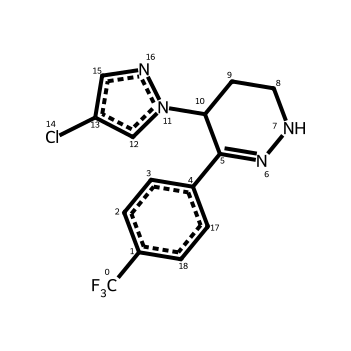 FC(F)(F)c1ccc(C2=NNCCC2n2cc(Cl)cn2)cc1